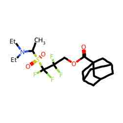 CCN(CC)C(C)S(=O)(=O)C(F)(F)C(F)(F)COC(=O)C12CC3CC(CC(C3)C1)C2